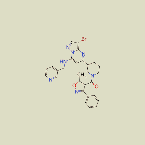 CC1ON=C(c2ccccc2)C1C(=O)N1CCCC(c2cc(NCc3cccnc3)n3ncc(Br)c3n2)C1